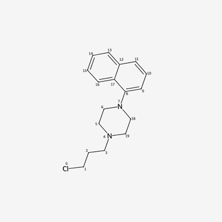 ClCCCN1CCN(c2cccc3ccccc23)CC1